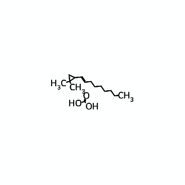 CCCCCCCC=CC1CC1(C)C.O=C(O)O